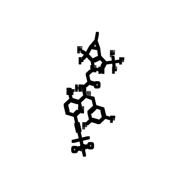 CC1C2c3c(C(F)(F)F)nn(CC(=O)N[C@@H](Cc4cc(F)cc(F)c4)c4nc(C#CC(C)(C)S(C)(=O)=O)ccc4Br)c3C(F)(F)C12